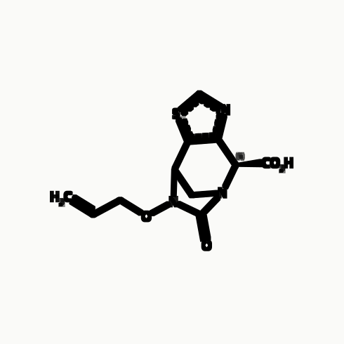 C=CCON1C(=O)N2CC1c1scnc1[C@H]2C(=O)O